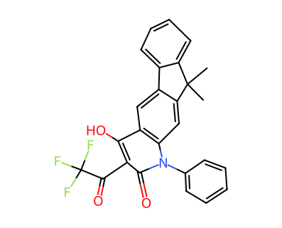 CC1(C)c2ccccc2-c2cc3c(O)c(C(=O)C(F)(F)F)c(=O)n(-c4ccccc4)c3cc21